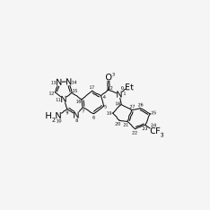 CCN(C(=O)c1ccc2nc(N)n3cnnc3c2c1)C1CCc2cc(C(F)(F)F)ccc21